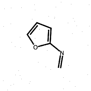 C=Nc1ccco1